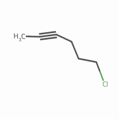 CC#CCCCCl